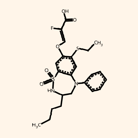 CCCCC1CN(c2ccccc2)c2cc(SCC)c(O/C=C(\F)C(=O)O)cc2S(=O)(=O)N1